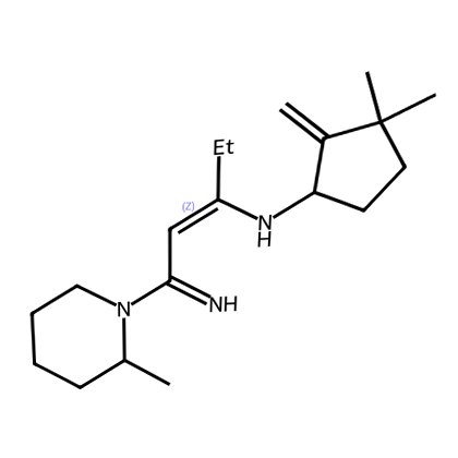 C=C1C(N/C(=C\C(=N)N2CCCCC2C)CC)CCC1(C)C